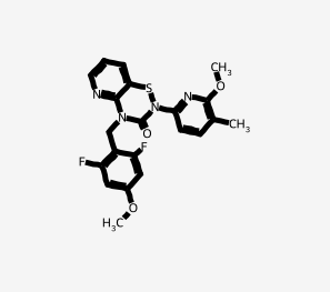 COc1cc(F)c(CN2C(=O)N(c3ccc(C)c(OC)n3)Sc3cccnc32)c(F)c1